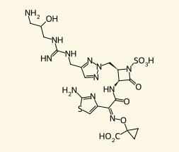 N=C(NCc1cnn(C[C@@H]2[C@H](NC(=O)/C(=N\OC3(C(=O)O)CC3)c3csc(N)n3)C(=O)N2S(=O)(=O)O)n1)NCC(O)CN